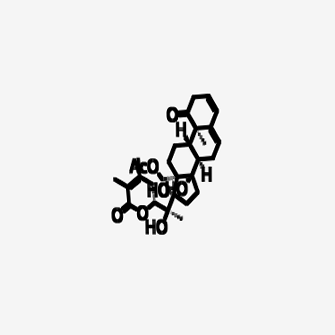 CC(=O)OC[C@]12CC[C@H]3[C@@H](CC=C4C=CCC(=O)[C@@]43C)[C@]1(O)CC[C@@]2(O)[C@@](C)(O)[C@H]1CC(C)=C(C)C(=O)O1